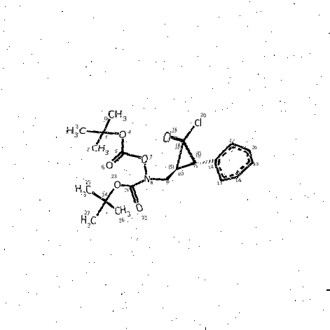 CC(C)(C)OC(=O)ON(C[C@@H]1[C@@H](c2ccccc2)C1(Cl)Cl)C(=O)OC(C)(C)C